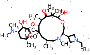 CO[C@]1(C)C[C@@H](C)CN(C)[C@H](C2CN(CC(C)(C)C)C2)COC(O)C(C)(C)C(=O)[C@H](C)[C@H]1O[C@@H]1O[C@H](C)C[C@H](N(C)C)[C@H]1O